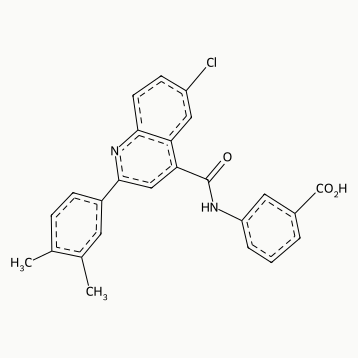 Cc1ccc(-c2cc(C(=O)Nc3cccc(C(=O)O)c3)c3cc(Cl)ccc3n2)cc1C